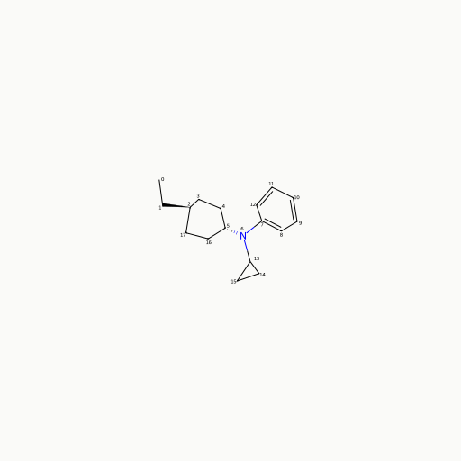 CC[C@H]1CC[C@H](N(c2ccccc2)C2CC2)CC1